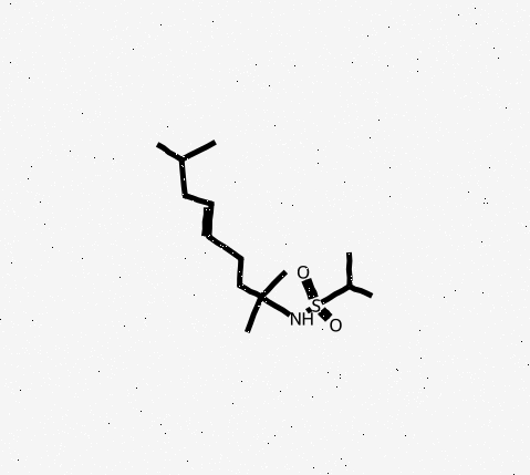 CC(C)C/C=C/CCC(C)(C)NS(=O)(=O)C(C)C